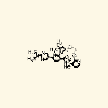 C[C@@H]1CN(c2nc(-c3cnc(N(C)C)nc3)ccc2C(=O)NS(=O)(=O)c2cccnc2N)C(C)(C)C1